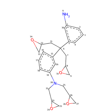 Nc1cccc(C(CC2CO2)(CC2CO2)c2cccc(N(CC3CO3)CC3CO3)c2)c1